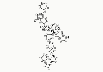 O=C(NS(=O)(=O)c1ccc(NCC2CCOCC2)c([N+](=O)[O-])c1)c1ccc(N2CCC3(CC2)CC(N2CCC[C@H]2c2ccccc2C2CCC2)C3)cc1N1c2cc3cc[nH]c3nc2O[C@H]2COC[C@@H]21